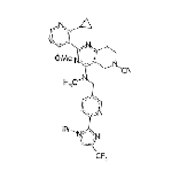 COc1ncnc(C2CC2)c1-c1nc2c(c(N(C)Cc3ccc(-c4nc(C(F)(F)F)cn4C(C)C)nc3)n1)CN(C#N)CC2